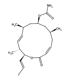 C[C@H]1C/C=C\C(=O)O[C@@H](/C=C/I)[C@H](C)/C=C/[C@@H](C)C[C@@H](OC(N)=O)C1